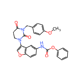 COc1ccc(CN2C(=O)CCN(c3coc4ccc(NC(=O)Oc5ccccc5)cc34)C2=O)cc1